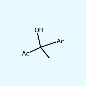 CC(=O)C(C)(O)C(C)=O